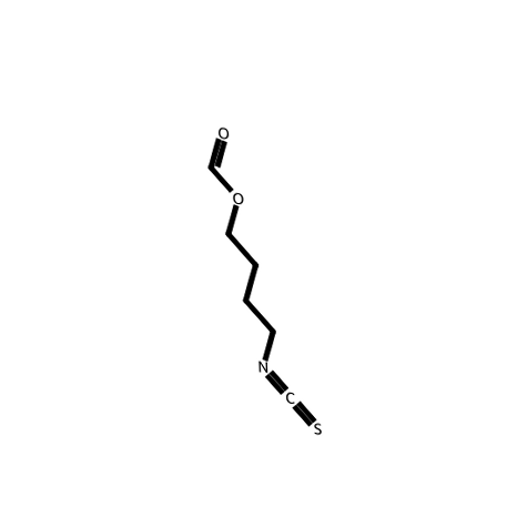 O=COCCCCN=C=S